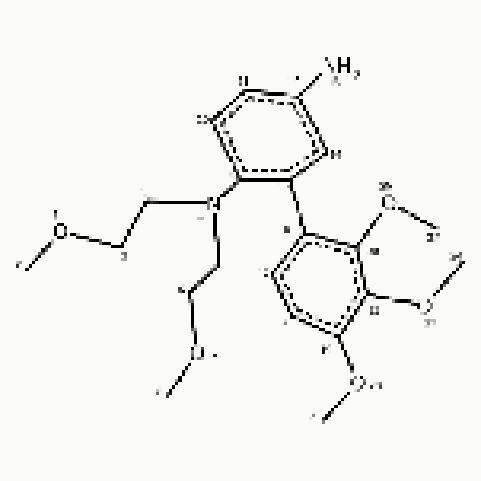 COCCN(CCOC)c1ccc(N)cc1-c1ccc(OC)c(OC)c1OC